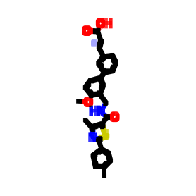 COc1ccc(-c2cccc(/C=C/C(=O)O)c2)cc1CNC(=O)c1sc(-c2ccc(C)cc2)nc1C